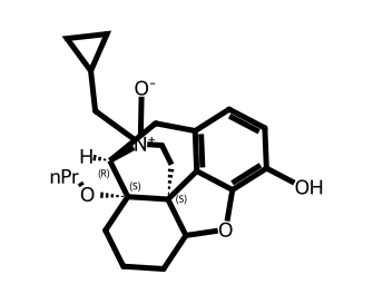 CCCO[C@@]12CCCC3Oc4c(O)ccc5c4[C@@]31CC[N+]([O-])(CC1CC1)[C@@H]2C5